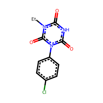 CCn1c(=O)[nH]c(=O)n(-c2ccc(Cl)cc2)c1=O